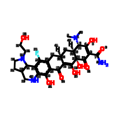 CN(C)[C@@H]1C(O)=C(C(N)=O)C(=O)[C@@]2(O)C(O)=C3C(=O)c4c(O)c5c(c(F)c4C[C@H]3C[C@@H]12)C1C(CCN1CCO)CN5